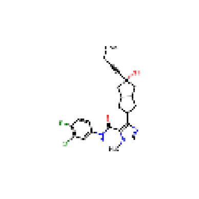 COCC#CC1(O)CC2CC(c3ncn(C)c3C(=O)Nc3ccc(F)c(Cl)c3)CC2C1